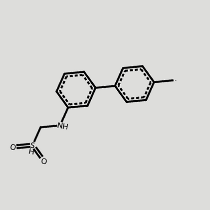 [CH2]c1ccc(-c2cccc(NC[SH](=O)=O)c2)cc1